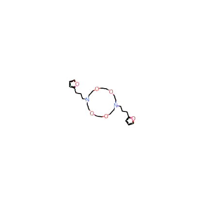 c1coc(CCCN2CCOCCOCCN(CCCc3ccco3)CCOCCOCC2)c1